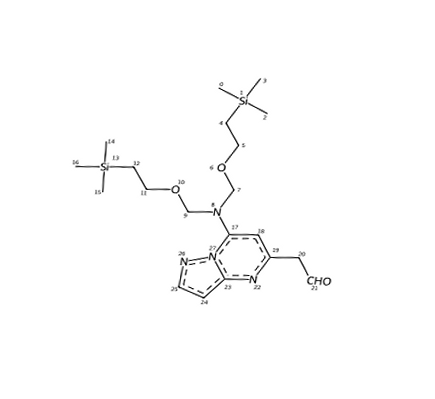 C[Si](C)(C)CCOCN(COCC[Si](C)(C)C)c1cc(CC=O)nc2ccnn12